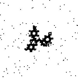 Cc1ccc(SC(=Cc2c[nH]c3ccc(Cl)cc23)C(=O)c2ccc(Br)cc2)cc1